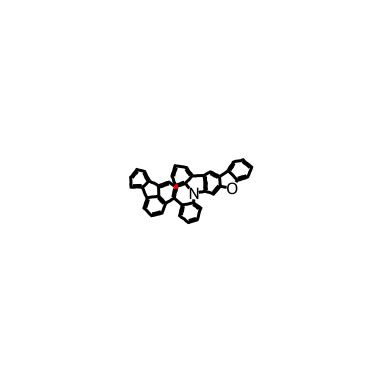 c1ccc2c(c1)-c1cccc3c(-c4ccccc4-n4c5ccccc5c5cc6c(cc54)oc4ccccc46)ccc-2c13